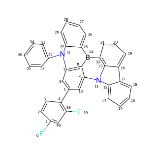 Fc1ccc(-c2cc3c4c(c2)-n2c5ccccc5c5cccc(c52)B4c2ccccc2N3c2ccccc2)c(F)c1